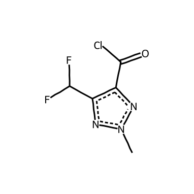 Cn1nc(C(=O)Cl)c(C(F)F)n1